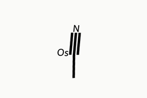 CC#N.[Os]